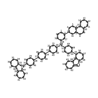 c1cc(-c2ccc3c(ccc4ccccc43)c2)cc(N(c2ccc(-c3ccc(-c4ccc(-n5c6ccccc6c6ccccc65)cc4)cc3)cc2)c2ccc(-c3cccc4oc5ccccc5c34)cc2)c1